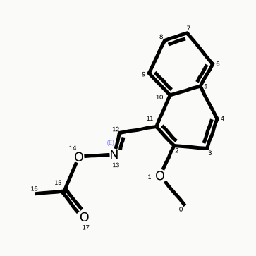 COc1ccc2ccccc2c1/C=N/OC(C)=O